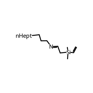 C=C[Si](C)(C)CC=NCCCCCCCCCC